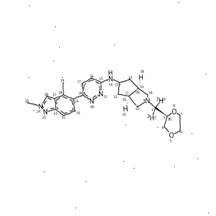 [2H]C([2H])([C@@H]1COCCO1)N1C[C@H]2CC(Nc3ccc(-c4ccc5nn(C)cc5c4C)nn3)C[C@H]2C1